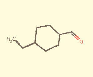 CCC1CCC(C=O)CC1